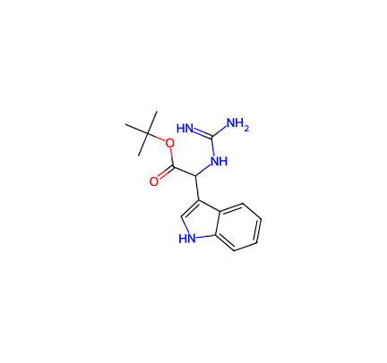 CC(C)(C)OC(=O)C(NC(=N)N)c1c[nH]c2ccccc12